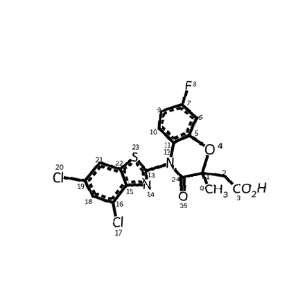 CC1(CC(=O)O)Oc2cc(F)ccc2N(c2nc3c(Cl)cc(Cl)cc3s2)C1=O